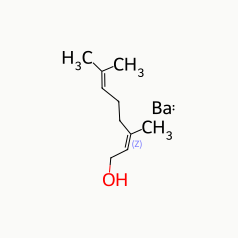 CC(C)=CCC/C(C)=C\CO.[Ba]